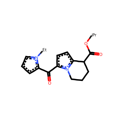 CCn1cccc1C(=O)c1ccc2n1CCCC2C(=O)OC(C)C